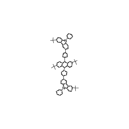 CC(C)(C)c1ccc2c(-c3ccc(-c4ccc5c(c4)c4cc(C(C)(C)C)ccc4n5-c4ccccc4)cc3)c3cc(C(C)(C)C)ccc3c(-c3ccc(-c4ccc5c(c4)c4cc(C(C)(C)C)ccc4n5-c4ccccc4)cc3)c2c1